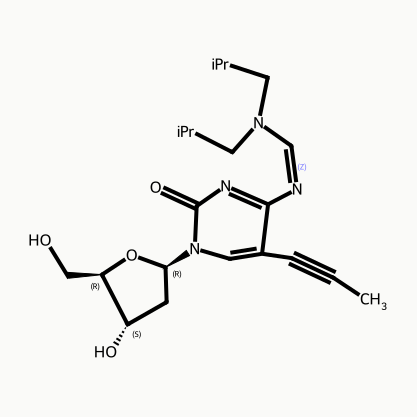 CC#Cc1cn([C@H]2C[C@H](O)[C@@H](CO)O2)c(=O)nc1/N=C\N(CC(C)C)CC(C)C